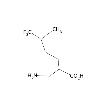 CC(CCC(CN)C(=O)O)C(F)(F)F